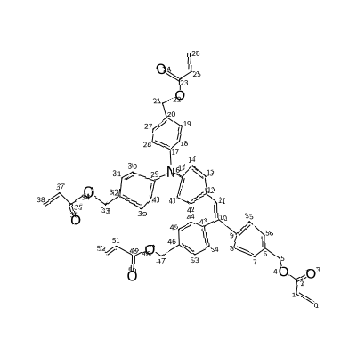 C=CC(=O)OCc1ccc(C(=Cc2ccc(N(c3ccc(COC(=O)C=C)cc3)c3ccc(COC(=O)C=C)cc3)cc2)c2ccc(COC(=O)C=C)cc2)cc1